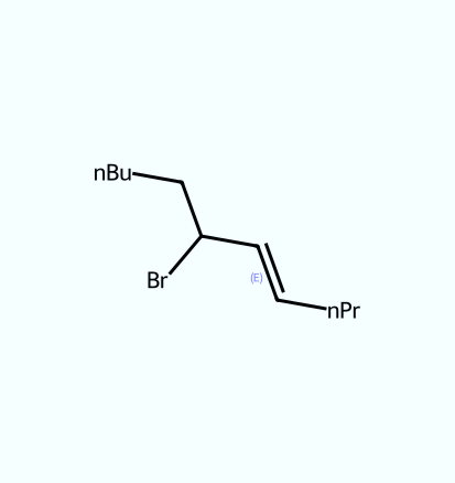 CCC/C=C/C(Br)CCCCC